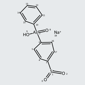 O=[S-](=O)c1ccc([As](=O)(O)c2ccccc2)cc1.[Na+]